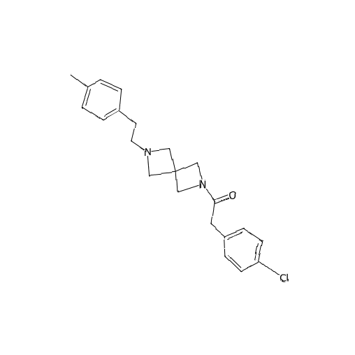 Cc1ccc(CCN2CC3(C2)CN(C(=O)Cc2ccc(Cl)cc2)C3)cc1